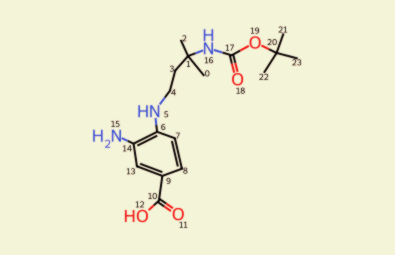 CC(C)(CCNc1ccc(C(=O)O)cc1N)NC(=O)OC(C)(C)C